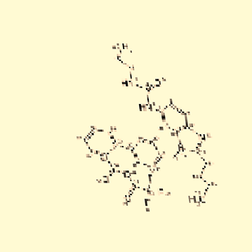 C=CCNC(=O)Nc1ccc2nc(CCCC)n(Cc3ccc(-c4ccccc4C(=O)OC(=O)C(F)(F)F)cc3)c2c1